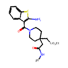 CCOC(=O)CC1(CC(=O)NC(C)C)CCN(C(=O)c2c(N)sc3ccccc23)CC1